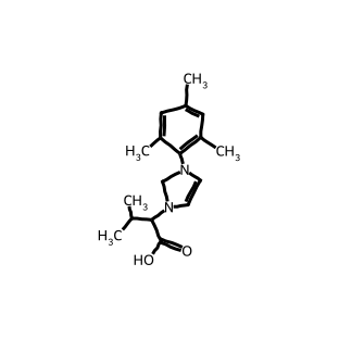 Cc1cc(C)c(N2C=CN(C(C(=O)O)C(C)C)C2)c(C)c1